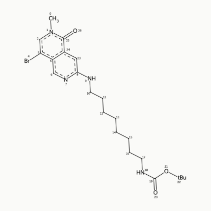 Cn1cc(Br)c2cnc(NCCCCCCCCNC(=O)OC(C)(C)C)cc2c1=O